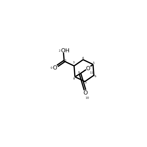 O=C(O)C1CC2CCC1C(=O)O2